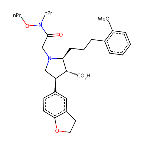 CCCON(CCC)C(=O)CN1C[C@H](c2ccc3c(c2)CCO3)[C@@H](C(=O)O)[C@@H]1CCCc1ccccc1OC